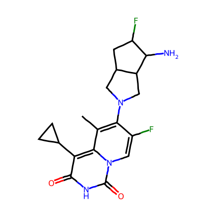 Cc1c(N2CC3CC(F)C(N)C3C2)c(F)cn2c(=O)[nH]c(=O)c(C3CC3)c12